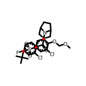 COCOc1c(Cl)cc(S(=O)(=O)CC(C)(C)C)cc1N1C2CCC1CN(C(=O)c1ccc(F)cc1Cl)C2